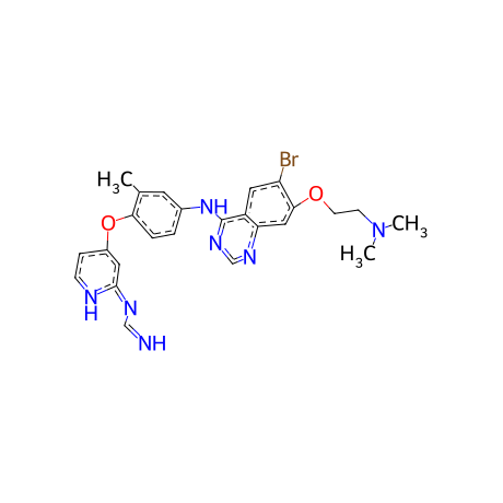 Cc1cc(Nc2ncnc3cc(OCCN(C)C)c(Br)cc23)ccc1Oc1cc[nH]/c(=N\C=N)c1